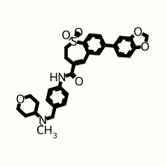 CN(Cc1ccc(NC(=O)C2=Cc3cc(-c4ccc5c(c4)OCO5)ccc3S(=O)(=O)CC2)cc1)C1CCOCC1